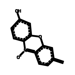 C=c1ccc2c(c1)Oc1cc(O)ccc1[N+]=2[O-]